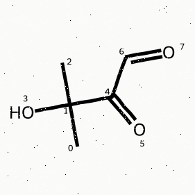 CC(C)(O)C(=O)C=O